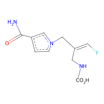 NC(=O)c1ccn(CC(=CF)CNC(=O)O)c1